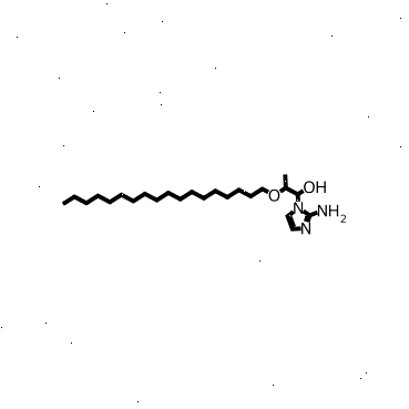 CCCCCCCCCCCCCCCCCCOC(C)C(O)n1ccnc1N